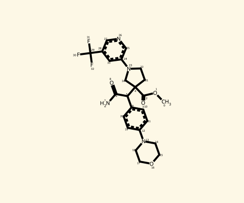 COC(=O)C1(C(C(N)=O)c2ccc(N3CCOCC3)cc2)CCN(c2cncc(C(F)(F)F)c2)C1